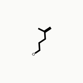 C=C(C)CCC[O]